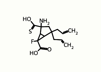 C=CCC1(CC=C)CC(N)(C(O)=S)C2C1C2(F)C(=O)O